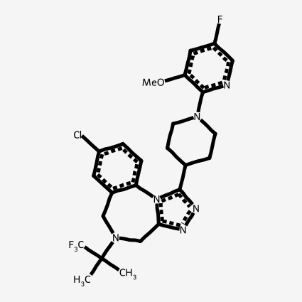 COc1cc(F)cnc1N1CCC(c2nnc3n2-c2ccc(Cl)cc2CN(C(C)(C)C(F)(F)F)C3)CC1